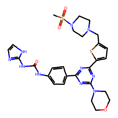 CS(=O)(=O)N1CCN(Cc2ccc(-c3nc(-c4ccc(NC(=O)Nc5ncc[nH]5)cc4)nc(N4CCOCC4)n3)s2)CC1